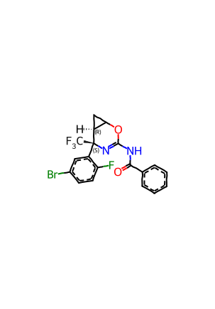 O=C(NC1=N[C@@](c2cc(Br)ccc2F)(C(F)(F)F)[C@H]2CC2O1)c1ccccc1